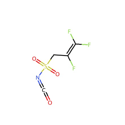 O=C=NS(=O)(=O)CC(F)=C(F)F